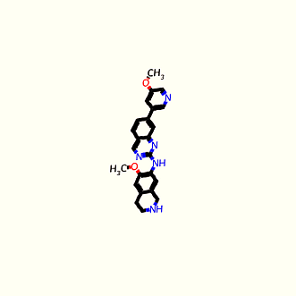 COc1cncc(-c2ccc3cnc(Nc4cc5c(cc4OC)CCNC5)nc3c2)c1